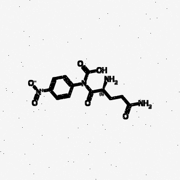 NC(=O)CC[C@H](N)C(=O)N(C(=O)O)c1ccc([N+](=O)[O-])cc1